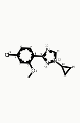 COc1cc(Cl)c[c]c1-c1ncn(C2CC2)n1